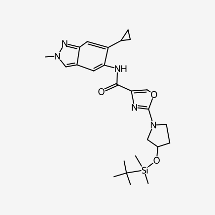 Cn1cc2cc(NC(=O)c3coc(N4CCC(O[Si](C)(C)C(C)(C)C)C4)n3)c(C3CC3)cc2n1